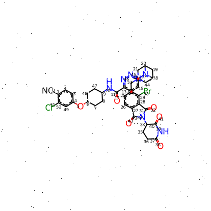 N#Cc1ccc(OC2CCC(NC(=O)c3ccc(N4C5CC4CN(Cc4ccc6c(c4Br)C(=O)N(C4CCC(=O)NC4=O)C6=O)C5)nn3)CC2)cc1Cl